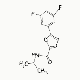 CC(C)NC(=O)c1ccc(-c2cc(F)cc(F)c2)o1